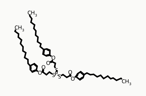 CCCCCCCCCCCCc1ccc(OC(=O)CCSP(SCCC(=O)Oc2ccc(CCCCCCCCCCCC)cc2)SCCC(=O)Oc2ccc(CCCCCCCCCCCC)cc2)cc1